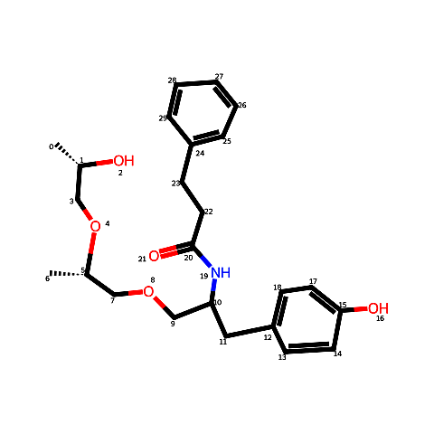 C[C@H](O)CO[C@@H](C)COCC(Cc1ccc(O)cc1)NC(=O)CCc1ccccc1